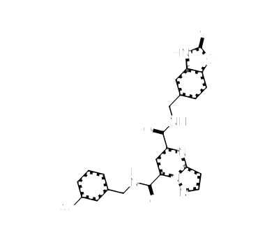 CC(=O)c1cccc(CNC(=O)c2cc(C(=O)NCc3ccc4oc(=O)[nH]c4c3)nc3ccnn23)c1